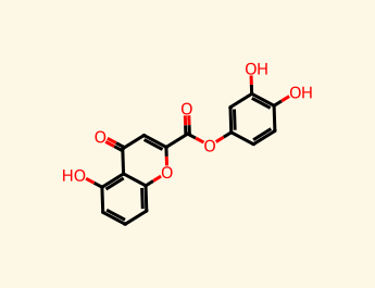 O=C(Oc1ccc(O)c(O)c1)c1cc(=O)c2c(O)cccc2o1